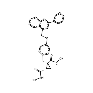 O=C(NO)[C@H]1C[C@]1(Cc1ccc(OCc2cc(-c3cccnc3)nc3ccccc23)cc1)C(=O)NO